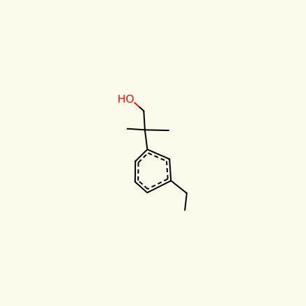 CCc1cccc(C(C)(C)CO)c1